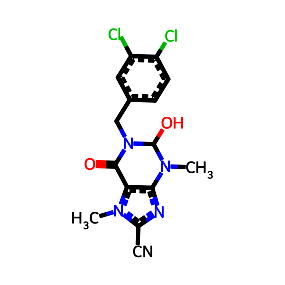 CN1c2nc(C#N)n(C)c2C(=O)N(Cc2ccc(Cl)c(Cl)c2)C1O